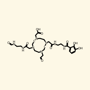 O=CCN1CCN(CC(=O)NCCNC=O)CCN(CC(=O)O)CCN(CC(=O)NCCNC(=O)c2cccc(O)c2O)CC1